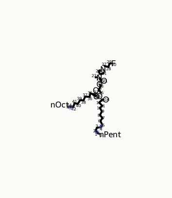 CCCCC/C=C\C/C=C\CCCCCCCC(=O)OCC(COC(=O)N(C)C1CN(CCCF)C1)OC(=O)CCCCCCC/C=C\CCCCCCCC